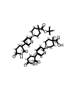 CC(C)(C)OC(=O)C1(C)CCN(c2ccc(C3CCC(=O)NC3=O)cn2)CC1.CC1(C(=O)O)CCN(c2ccc(C3CCC(=O)NC3=O)cn2)CC1